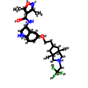 Cc1noc(C)c1C(=O)Nc1c[nH]c2ccc(OCCC3C[C@@H]4CN(CC(F)(F)F)C[C@@H]4C3)cc12